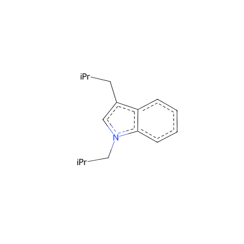 CC(C)Cc1cn(CC(C)C)c2ccccc12